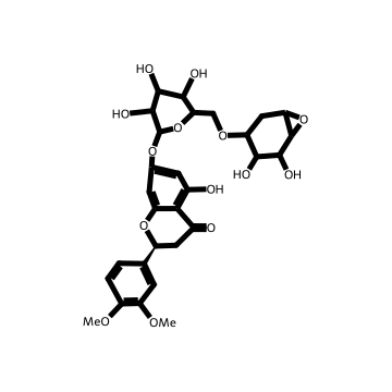 COc1ccc([C@@H]2CC(=O)c3c(O)cc(OC4OC(COC5CC6OC6C(O)C5O)C(O)C(O)C4O)cc3O2)cc1OC